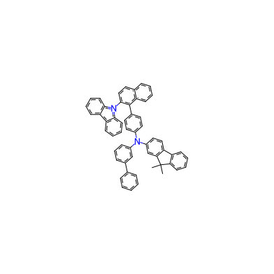 CC1(C)c2ccccc2-c2ccc(N(c3ccc(-c4c(-n5c6ccccc6c6ccccc65)ccc5ccccc45)cc3)c3cccc(-c4ccccc4)c3)cc21